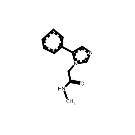 CNC(=O)Cn1cncc1-c1ccccc1